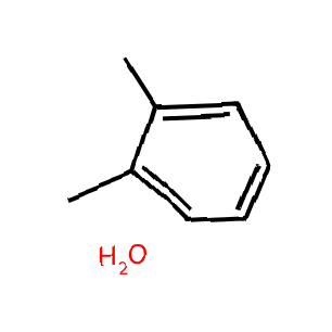 Cc1ccccc1C.O